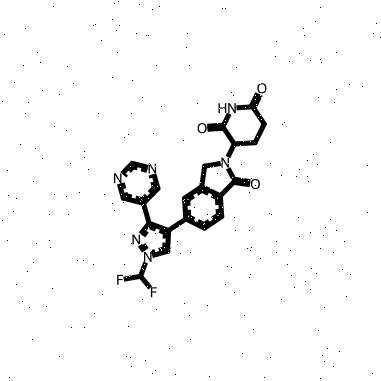 O=C1CCC(N2Cc3cc(-c4cn(C(F)F)nc4-c4cncnc4)ccc3C2=O)C(=O)N1